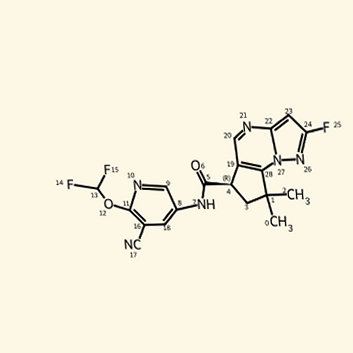 CC1(C)C[C@@H](C(=O)Nc2cnc(OC(F)F)c(C#N)c2)c2cnc3cc(F)nn3c21